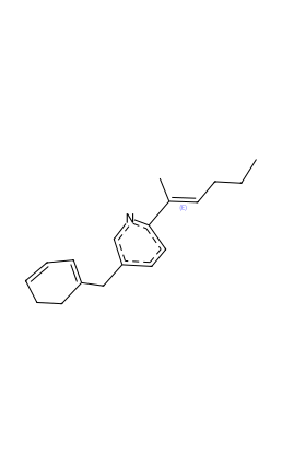 CCC/C=C(\C)c1ccc(CC2=CC=CCC2)cn1